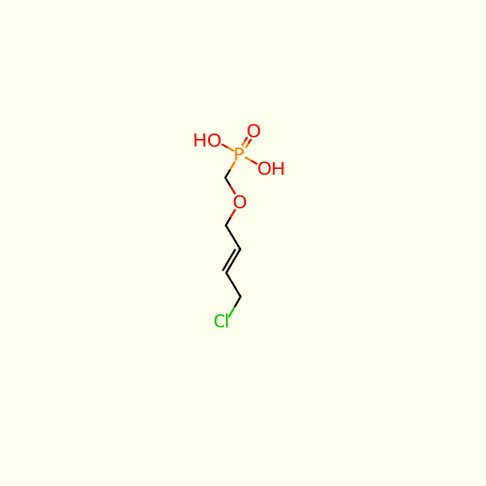 O=P(O)(O)COCC=CCCl